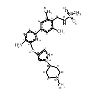 Cc1cc(-c2cnc(N)c(Oc3cnn(C4CCN(C)CC4)c3)n2)cc(C)c1CNS(C)(=O)=O